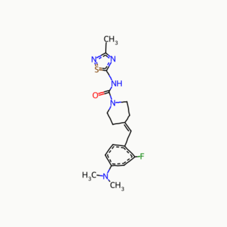 Cc1nsc(NC(=O)N2CCC(=Cc3ccc(N(C)C)cc3F)CC2)n1